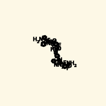 COc1cc(F)c(C(=O)NCOc2ccc(-c3nc(COc4ccc(F)c(C(N)=O)c4F)sc3-c3ccccc3N)cc2)c(F)c1OCc1nc(-c2ccccc2)c(-c2cccc(N)c2)s1